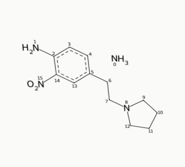 N.Nc1ccc(CCN2CCCC2)cc1[N+](=O)[O-]